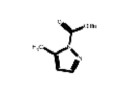 Cc1c[c]nn1C(=O)OCC(C)C